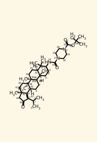 CC(C)C1=C2[C@H]3CC[C@@H]4[C@@]5(C)CCC(NC(=O)N6CCN(C(=O)OC(C)(C)C)CC6)C(C)(C)[C@@H]5CC[C@@]4(C)[C@]3(C)CC[C@@]2(C)CC1=O